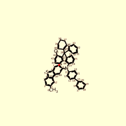 Cc1ccc2sc3ccc(N(c4ccc(-c5ccccc5)cc4)c4cccc(C5(c6ccccc6)C6=CCCC=C6Oc6ccccc65)c4)cc3c2c1